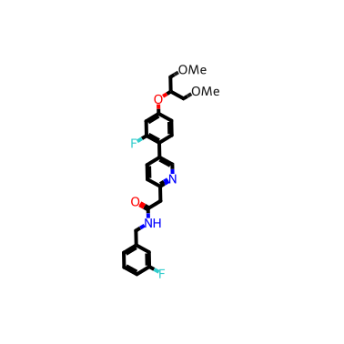 COCC(COC)Oc1ccc(-c2ccc(CC(=O)NCc3cccc(F)c3)nc2)c(F)c1